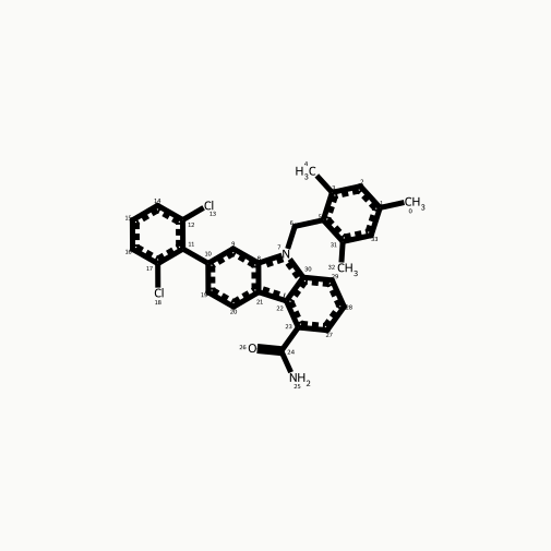 Cc1cc(C)c(Cn2c3cc(-c4c(Cl)cccc4Cl)c[c]c3c3c(C(N)=O)cccc32)c(C)c1